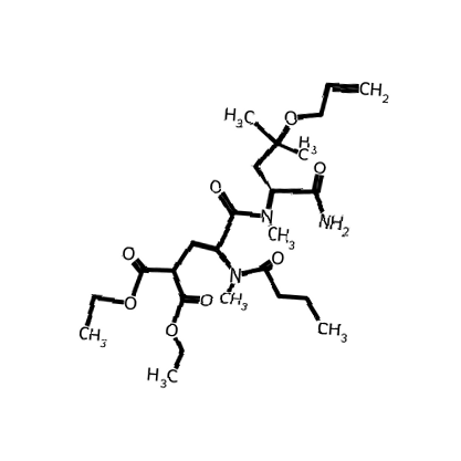 C=CCOC(C)(C)C[C@@H](C(N)=O)N(C)C(=O)C(CC(C(=O)OCC)C(=O)OCC)N(C)C(=O)CCC